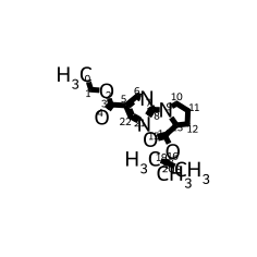 CCOC(=O)c1cnc(N2CCCC2C(=O)OC(C)(C)C)nc1